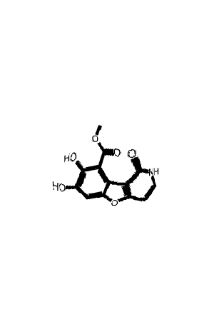 COC(=O)c1c(O)c(O)cc2oc3cc[nH]c(=O)c3c12